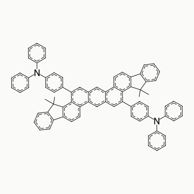 CC1(C)c2ccccc2-c2ccc3c(c(-c4ccc(N(c5ccccc5)c5ccccc5)cc4)cc4cc5c(cc(-c6ccc(N(c7ccccc7)c7ccccc7)cc6)c6c7c(ccc65)-c5ccccc5C7(C)C)cc43)c21